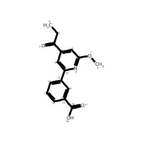 CCC(=O)c1cc(OC)nc(-c2cccc(C(=O)O)c2)c1